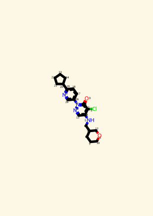 O=c1c(Cl)c(NCC2CCCOC2)cnn1-c1ccc(C2CCCC2)nc1